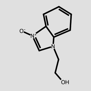 [O-][n+]1cn(CCO)c2ccccc21